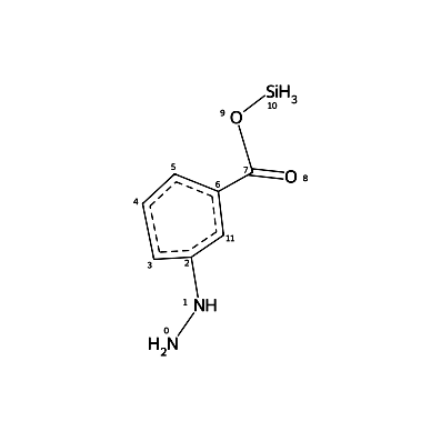 NNc1cccc(C(=O)O[SiH3])c1